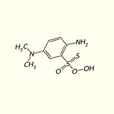 CN(C)c1ccc(N)c(S(=O)(=S)OO)c1